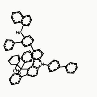 CC1(C2(c3ccccc3)c3ccccc3-c3ccc4c(c32)c2cc(-c3ccc(Nc5cccc6ccccc56)c(-c5ccccc5)c3)ccc2n4-c2ccc(-c3ccccc3)cc2)C=CC=CC1